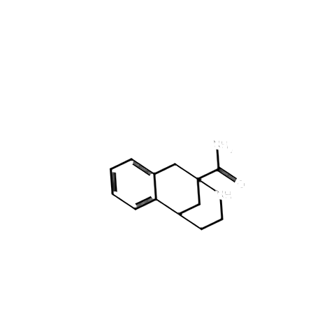 NC(=O)C12Cc3ccccc3C(CCN1)C2